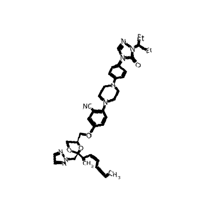 C=C(/C=C\C=C/C)[C@]1(Cn2nccn2)OC[C@@H](COc2ccc(N3CCN(c4ccc(-n5cnn(C(CC)CC)c5=O)cc4)CC3)c(C#N)c2)O1